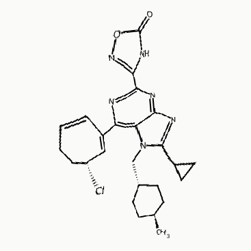 C[C@H]1CC[C@H](Cn2c(C3CC3)nc3nc(-c4noc(=O)[nH]4)nc(C4=C[C@H](Cl)CCC=C4)c32)CC1